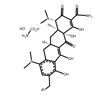 CC(C)Cc1cc(N(C)C)c2c(c1O)C(O)=C1C(=O)[C@]3(O)C(O)=C(C(N)=O)C(=O)[C@@H](N(C)C)[C@@H]3C[C@@H]1C2.Cl.NC(=O)O